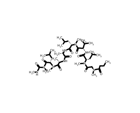 CCCC(=O)N(C)CC(=O)N(C)[C@@H](CC(C)C)C(=O)N[C@H](C(=O)N(C)[C@@H](CC(C)C)C(=O)N[C@@H](C)C(=O)N[C@@H](C)C(=O)N(C)[C@@H](CC(C)C)C(=O)N(C)C(=O)NC)C(C)C